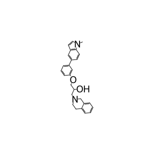 Cn1ccc2cc(-c3cccc(OCC(O)CN4CCc5ccccc5C4)c3)ccc21